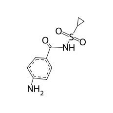 Nc1ccc(C(=O)NS(=O)(=O)C2CC2)cc1